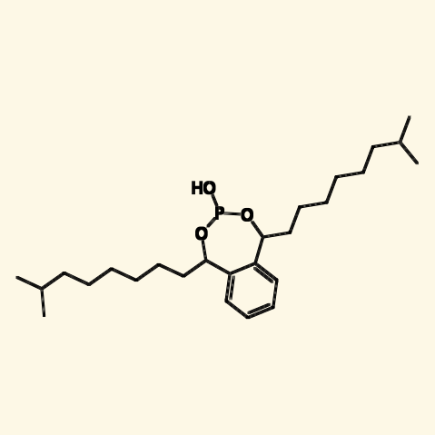 CC(C)CCCCCCC1OP(O)OC(CCCCCCC(C)C)c2ccccc21